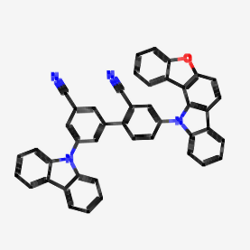 N#Cc1cc(-c2ccc(-n3c4ccccc4c4ccc5oc6ccccc6c5c43)cc2C#N)cc(-n2c3ccccc3c3ccccc32)c1